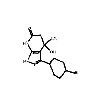 CCCCC1CCC(c2n[nH]c3c2C(O)(C(F)(F)F)CC(=O)N3)CC1